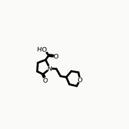 O=C(O)C1CCC(=O)N1CCC1CCOCC1